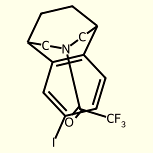 O=C(N1CC2CCC(C1)c1cc(I)ccc12)C(F)(F)F